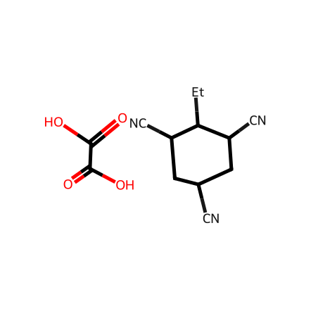 CCC1C(C#N)CC(C#N)CC1C#N.O=C(O)C(=O)O